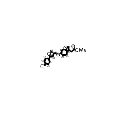 COC(=O)Cc1csc2cc(OCc3cc(-c4ccc(Cl)cc4)on3)ccc12